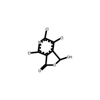 O=C1OC(O)c2c(Cl)c(Cl)nc(Cl)c21